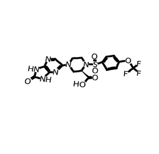 O=C(O)[C@H]1CN(c2cnc3[nH]c(=O)[nH]c3n2)CCN1S(=O)(=O)c1ccc(OC(F)(F)F)cc1